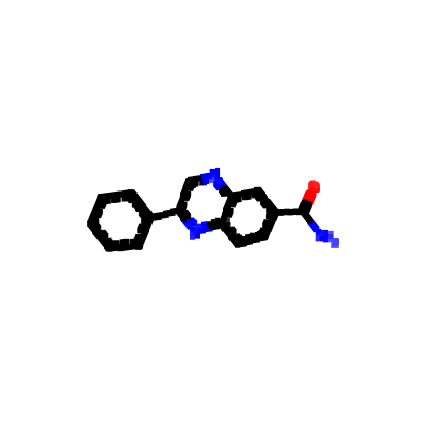 NC(=O)c1ccc2nc(-c3ccccc3)cnc2c1